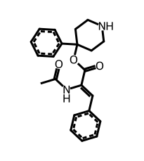 CC(=O)N/C(=C\c1ccccc1)C(=O)OC1(c2ccccc2)CCNCC1